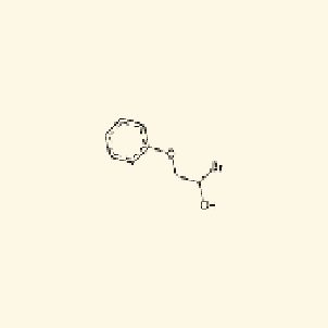 OC(Br)COc1ccccc1